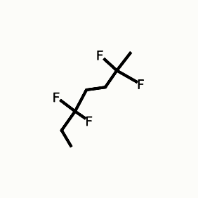 CCC(F)(F)CCC(C)(F)F